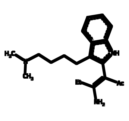 CC/C(N)=C(/C(C)=O)c1[nH]c2ccccc2c1CCCCN(C)C